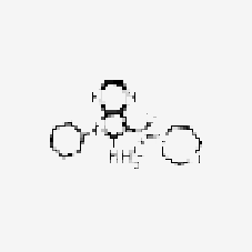 Nc1c(S(=O)(=O)N2CCCOCC2)c2nccnc2n1C1CCCCC1